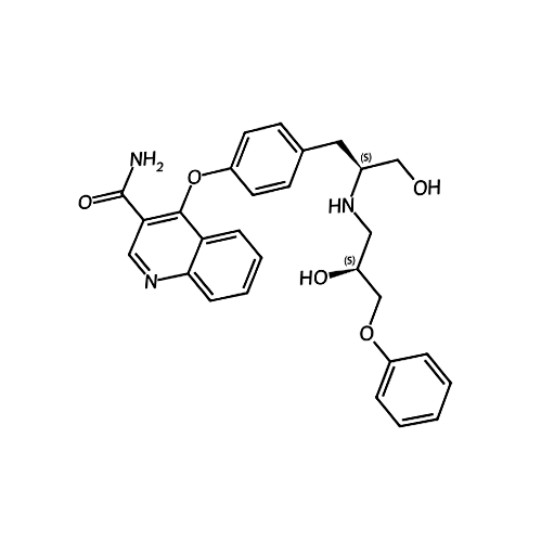 NC(=O)c1cnc2ccccc2c1Oc1ccc(C[C@@H](CO)NC[C@H](O)COc2ccccc2)cc1